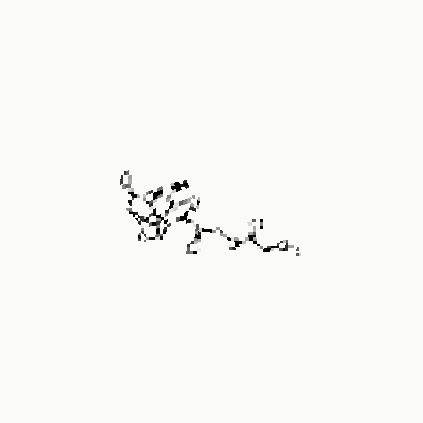 C=CC(=O)OCC(=O)OC1C2OC(=O)C3C2OC1C3C(=O)O